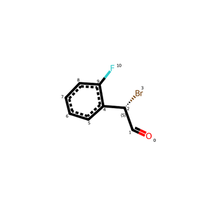 O=C[C@@H](Br)c1ccccc1F